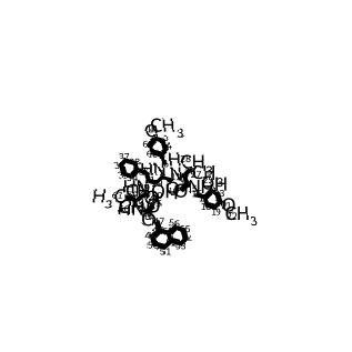 COc1ccc(CNC(C(=O)NC(C(=O)NCc2ccc(OC)cc2O)C(C)C)C(O)C(Cc2ccccc2)NC(=O)C(NC(=O)OCc2cccc3ccccc23)C(C)(C)C)cc1